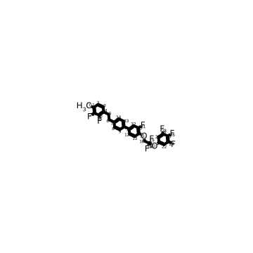 Cc1ccc(CCc2ccc(-c3ccc(OCC(F)(F)Oc4cc(F)c(F)c(F)c4)c(F)c3)cc2)c(F)c1F